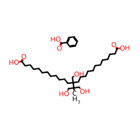 CC(CO)(CO)C(CO)(CCCCCCCCCCCC(=O)O)CCCCCCCCCCCC(=O)O.O=C(O)c1ccccc1